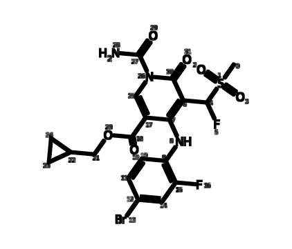 CS(=O)(=O)C(F)c1c(Nc2ccc(Br)cc2F)c(C(=O)OCC2CC2)cn(C(N)=O)c1=O